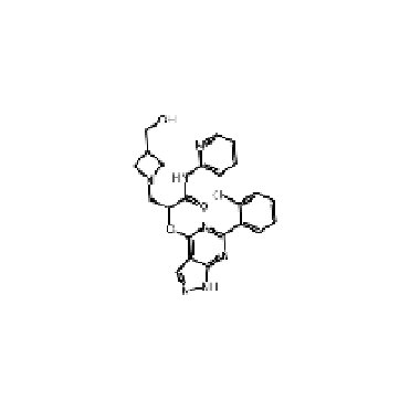 O=C(Nc1ccccn1)[C@H](CN1CC(CO)C1)Oc1nc(-c2ccccc2Cl)nc2[nH]ncc12